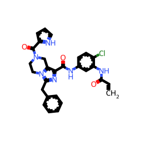 C=CC(=O)Nc1cc(NC(=O)c2nc(Cc3ccccc3)n3c2CN(C(=O)c2ccc[nH]2)CC3)ccc1Cl